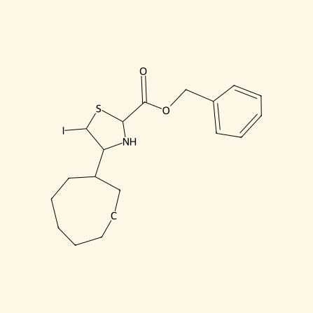 O=C(OCc1ccccc1)C1NC(C2CCCCCCC2)C(I)S1